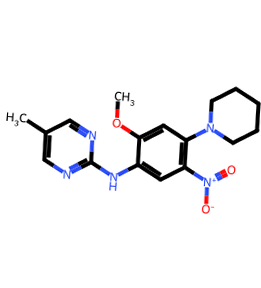 COc1cc(N2CCCCC2)c([N+](=O)[O-])cc1Nc1ncc(C)cn1